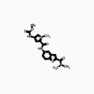 CN(C)C(=O)c1cc2cc(NC(=O)c3cc(NC(=O)OC(C)(C)C)cn3C)ccc2o1